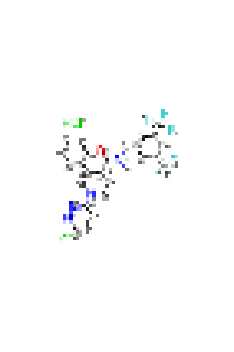 CN(Cc1cc(C(F)(F)F)cc(C(F)(F)F)c1)C(=O)[C@H]1CCN(c2ccc(Cl)nn2)C[C@H]1c1ccccc1.Cl